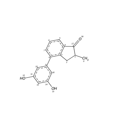 CC1Cc2c(cccc2-c2cc(O)cc(O)c2)C1=O